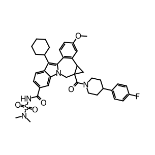 COc1ccc2c(c1)C1CC1(C(=O)N1CCC(c3ccc(F)cc3)CC1)Cn1c-2c(C2CCCCC2)c2ccc(C(=O)NS(=O)(=O)N(C)C)cc21